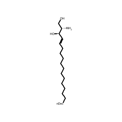 CCCCCCCCCCCCCCCCCCCCC/C=C/[C@@H](O)[C@@H](N)CO